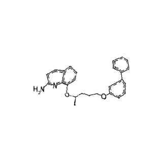 C[C@H](CCCOc1cccc(-c2ccccc2)c1)Oc1cccc2ccc(N)nc12